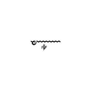 CCCCCCCCCCCCCCCC[n+]1cccc(C)c1.F[B-](F)(F)F